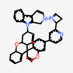 C1=CCC2OC3CC(n4c5c(c6ccccc64)C=CNC5)C=CC3C3(C2=C1)C1=C(CCC=C1)Oc1cc(-c2ccnc(C4CC=N4)c2)ccc13